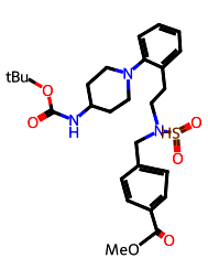 COC(=O)c1ccc(CN(CCc2ccccc2N2CCC(NC(=O)OC(C)(C)C)CC2)[SH](=O)=O)cc1